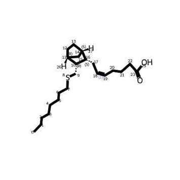 CCCCCCCCSC[C@@H]1[C@@H]2CC[C@@H](C2)[C@@H]1C/C=C\CCCC(=O)O